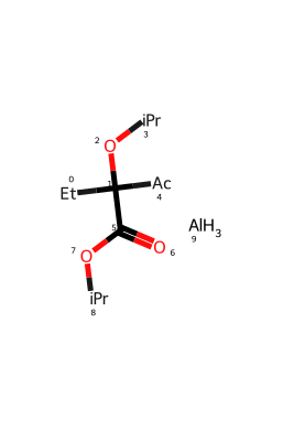 CCC(OC(C)C)(C(C)=O)C(=O)OC(C)C.[AlH3]